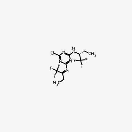 CC/C(=N/c1nc(Cl)nc(N[C@H](CC)C(F)(F)F)n1)C(F)(F)F